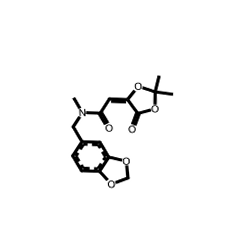 CN(Cc1ccc2c(c1)OCO2)C(=O)C=C1OC(C)(C)OC1=O